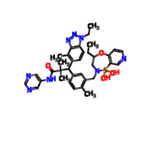 CCC1CN(Cc2cc(C(c3ccc4c(nnn4CC)c3C)C(C)(C)C(=O)Nc3cncnc3)ccc2C)S(O)(O)c2cnccc2O1